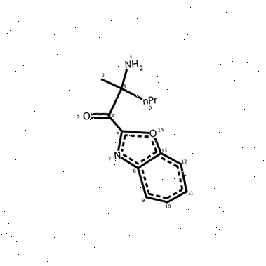 CCCC(C)(N)C(=O)c1nc2ccccc2o1